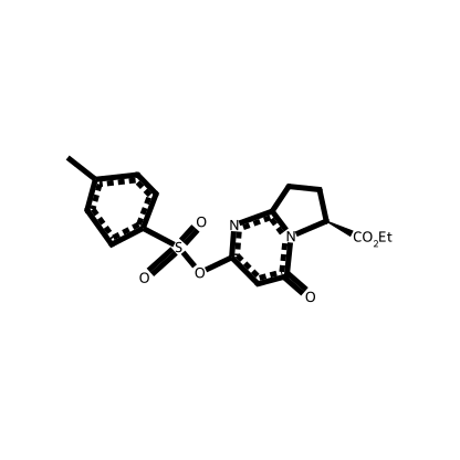 CCOC(=O)[C@@H]1CCc2nc(OS(=O)(=O)c3ccc(C)cc3)cc(=O)n21